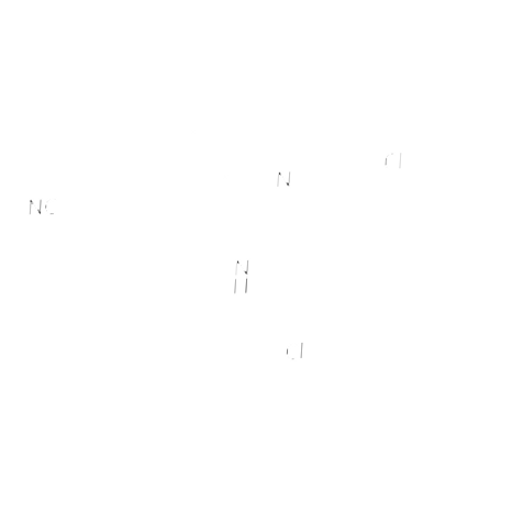 N#Cc1ccc2nc(-c3c(Cl)cccc3Cl)[nH]c2c1